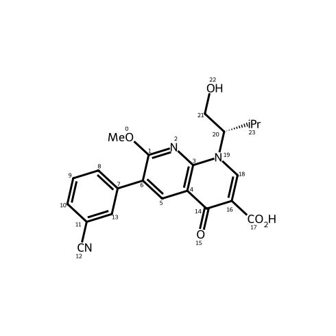 COc1nc2c(cc1-c1cccc(C#N)c1)c(=O)c(C(=O)O)cn2[C@H](CO)C(C)C